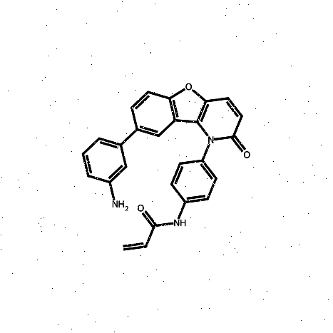 C=CC(=O)Nc1ccc(-n2c(=O)ccc3oc4ccc(-c5cccc(N)c5)cc4c32)cc1